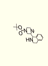 CC(C)(C)OC(=O)N1CC[N]C(C2NCCc3ccccc32)C1